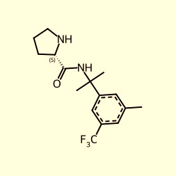 Cc1cc(C(F)(F)F)cc(C(C)(C)NC(=O)[C@@H]2CCCN2)c1